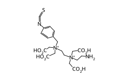 NCC[N+](CC[N+](CC(=O)O)(CC(=O)O)Cc1ccc(N=C=S)cc1)(CC(=O)O)CC(=O)O